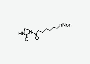 CCCCCCCCCCCCCCCC(=O)N1CCNC1=O